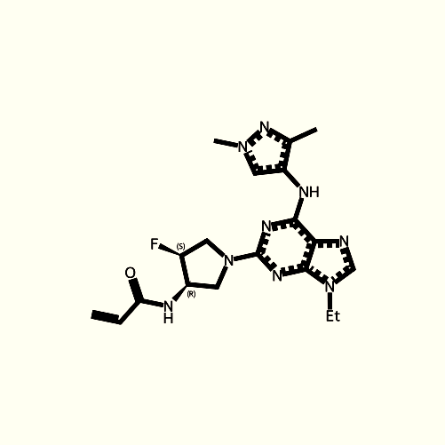 C=CC(=O)N[C@@H]1CN(c2nc(Nc3cn(C)nc3C)c3ncn(CC)c3n2)C[C@@H]1F